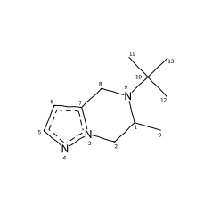 CC1Cn2nccc2CN1C(C)(C)C